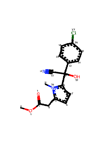 COC(=O)Cc1ccc(C(O)(C#N)c2ccc(Cl)cc2)n1C